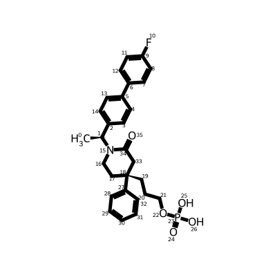 C[C@@H](c1ccc(-c2ccc(F)cc2)cc1)N1CC[C@@](CCCOP(=O)(O)O)(c2ccccc2)CC1=O